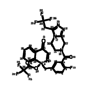 O=C1C=N[N+](Cc2ccc(F)c(C(=O)N3CCn4c(nnc4CC(F)(F)F)C3)c2)(OC(=O)C(F)(F)F)c2ccccc21